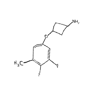 Cc1cc(OC2CC(N)C2)cc(F)c1F